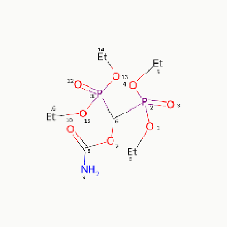 CCOP(=O)(OCC)C(OC(N)=O)P(=O)(OCC)OCC